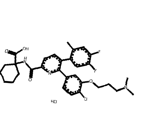 Cc1cc(F)c(F)cc1-c1ccc(C(=O)NC2(C(=O)O)CCCCC2)nc1-c1ccc(Cl)c(OCCCN(C)C)c1.Cl